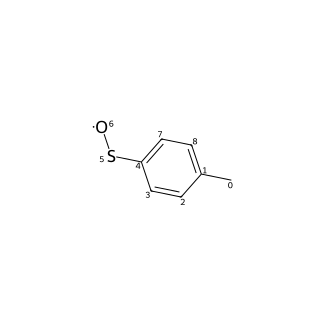 Cc1ccc(S[O])cc1